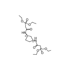 CCOP(=O)(CC(=O)N[C@@H]1CC[C@H](NC(=O)CP(=O)(OCC)OCC)C1)OCC